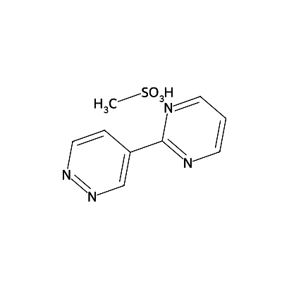 CS(=O)(=O)O.c1cnc(-c2ccnnc2)nc1